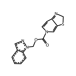 O=C(OCn1ncc2ccccc21)N1C=CC2=NCSC2=C1